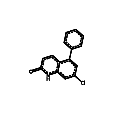 O=c1ccc2c(-c3ccccc3)cc(Cl)cc2[nH]1